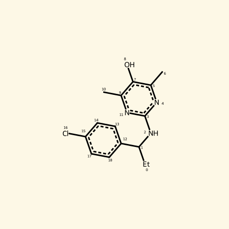 CCC(Nc1nc(C)c(O)c(C)n1)c1ccc(Cl)cc1